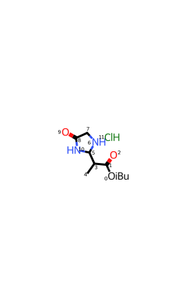 CC(C)COC(=O)C(C)C1NCC(=O)N1.Cl